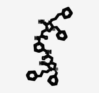 N=C1N(CC(=O)Nc2cccc(NC(=O)CN3C[C@H](Cc4ccccc4)N(CCCc4ccccc4)C3=N)c2)C[C@H](Cc2ccccc2)N1CCCc1ccccc1